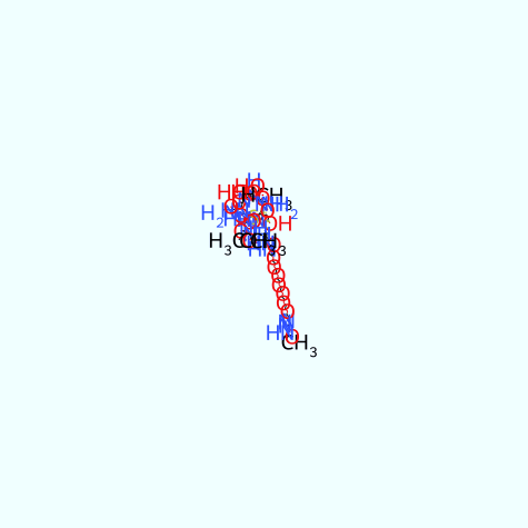 CCC(=O)NCc1cn(CCOCCOCCOCCOCCOCCOCCOCCNC(=O)NCCCCSCc2c(O)ccc3c4c([nH]c23)[S+]([O-])C[C@H](NC(=O)CNC(=O)[C@@H](NC(=O)CC)[C@@H](C)CC)C(=O)N[C@@H](CCC(N)=O)C(=O)N2C[C@H](O)C[C@H]2C(=O)N[C@@H]([C@@H](C)[C@@H](O)CO)C(=O)N[C@H](C(N)=O)C4)nn1